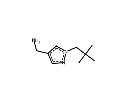 CC(C)(C)Cn1cc(CN)cn1